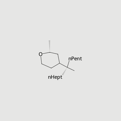 CCCCCCC[C@@](C)(CCCCC)C1CCO[C@H](C)C1